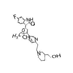 CC1(C)O/C(=C2/C(=O)Nc3cc(F)ccc32)C=C1c1ccc(CCN2CCCC(CCO)C2)nc1